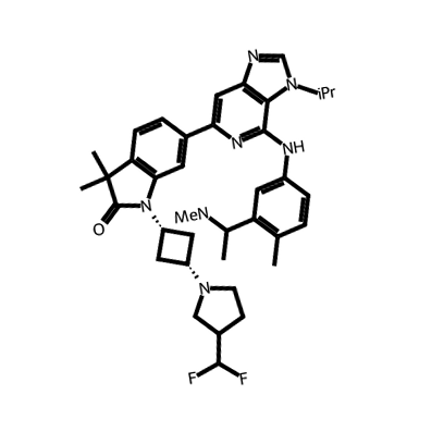 CNC(C)c1cc(Nc2nc(-c3ccc4c(c3)N([C@H]3C[C@@H](N5CCC(C(F)F)C5)C3)C(=O)C4(C)C)cc3ncn(C(C)C)c23)ccc1C